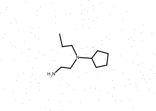 CCCN(CCN)C1CCCC1